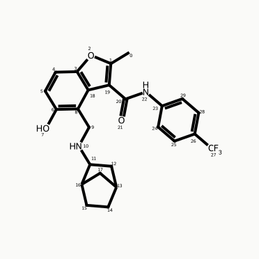 Cc1oc2ccc(O)c(CNC3CC4CCC3C4)c2c1C(=O)Nc1ccc(C(F)(F)F)cc1